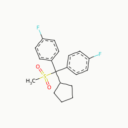 CS(=O)(=O)C(c1ccc(F)cc1)(c1ccc(F)cc1)C1CCCC1